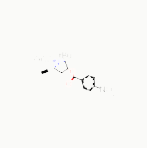 C#C[C@H]1C[C@H](OC(=O)c2ccc([N+](=O)[O-])cc2)C[N+]1(C(=O)[O-])C(C)(C)C